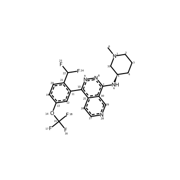 CN1CCC[C@@H](Nc2nnc(-c3cc(OC(F)(F)F)ccc3C(F)F)c3ccncc23)C1